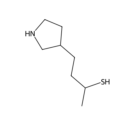 CC(S)CCC1CCNC1